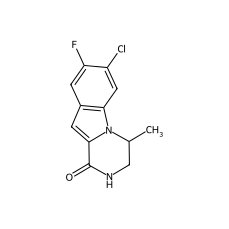 CC1CNC(=O)c2cc3cc(F)c(Cl)cc3n21